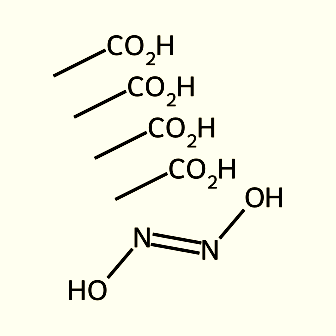 CC(=O)O.CC(=O)O.CC(=O)O.CC(=O)O.O/N=N/O